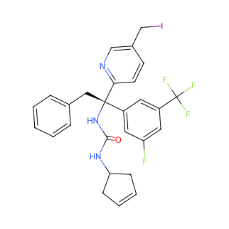 O=C(NC1CC=CC1)N[C@@](Cc1ccccc1)(c1cc(F)cc(C(F)(F)F)c1)c1ccc(CI)cn1